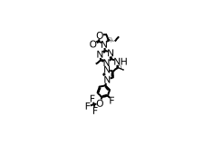 CC[C@H]1COC(=O)N1c1nc(C)nc(N[C@@H](C)c2cn(-c3ccc(OC(F)(F)F)c(F)c3)cn2)n1